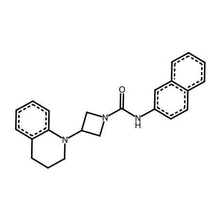 O=C(Nc1ccc2ccccc2c1)N1CC(N2CCCc3ccccc32)C1